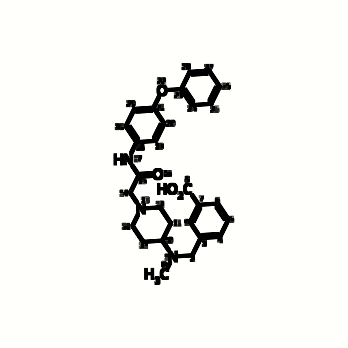 CN(Cc1cccc(C(=O)O)c1)C1CCN(CC(=O)Nc2ccc(Oc3ccccc3)cc2)CC1